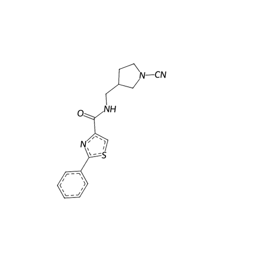 N#CN1CCC(CNC(=O)c2csc(-c3ccccc3)n2)C1